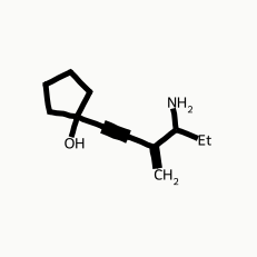 C=C(C#CC1(O)CCCC1)C(N)CC